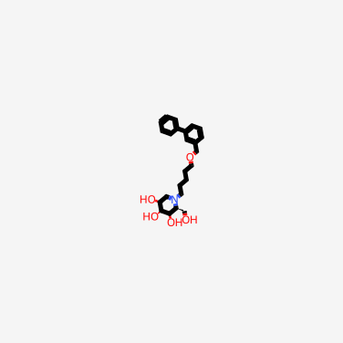 OC[C@@H]1[C@@H](O)[C@H](O)[C@@H](O)CN1CCCCCOCc1cccc(-c2cc#ccc2)c1